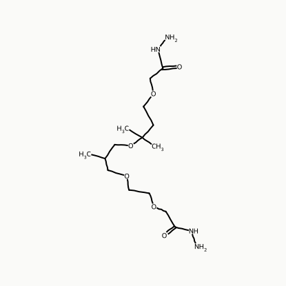 CC(COCCOCC(=O)NN)COC(C)(C)CCOCC(=O)NN